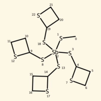 C[S][Sb]([S]C1CCS1)([S]C1CCS1)([S]C1CCS1)[S]C1CCS1